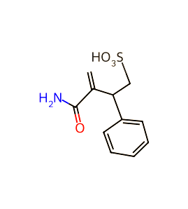 C=C(C(N)=O)C(CS(=O)(=O)O)c1ccccc1